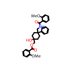 COc1ccccc1C(=O)NCC1(c2ccccc2)CCC(O)(COC(=O)c2ccccc2OC)CC1